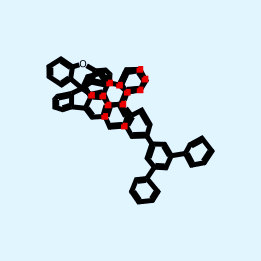 c1ccc(-c2cc(-c3ccccc3)cc(-c3ccc(N(c4ccc5c(c4)C4(c6ccccc6Oc6ccccc64)c4ccccc4-5)c4ccccc4-c4ccccc4-c4ccccc4-c4ccccc4)cc3)c2)cc1